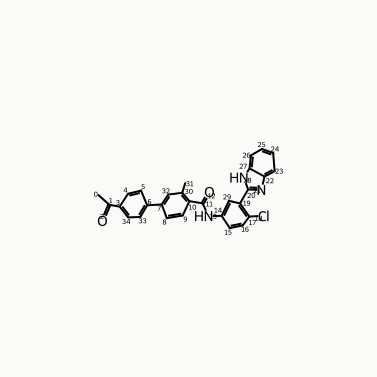 CC(=O)c1ccc(-c2ccc(C(=O)Nc3ccc(Cl)c(-c4nc5ccccc5[nH]4)c3)c(C)c2)cc1